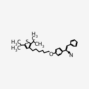 CC(C)c1cc(CCCCCCOc2ccc(/C(C#N)=C/c3ccccc3)cc2)c(C(C)C)s1